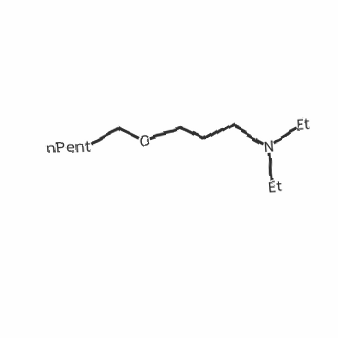 CCCCCCOCCCN(CC)CC